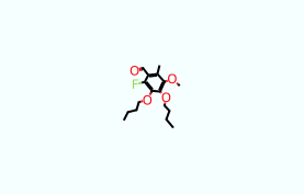 CCCCOc1c(F)c(C=O)c(C)c(OC)c1OCCCC